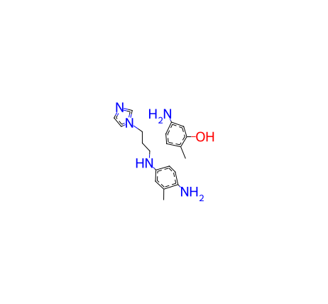 Cc1cc(NCCCn2ccnc2)ccc1N.Cc1ccc(N)cc1O